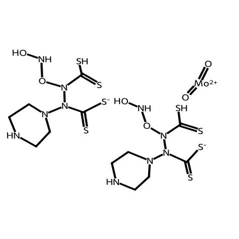 ONON(C(=S)S)N(C(=S)[S-])N1CCNCC1.ONON(C(=S)S)N(C(=S)[S-])N1CCNCC1.[O]=[Mo+2]=[O]